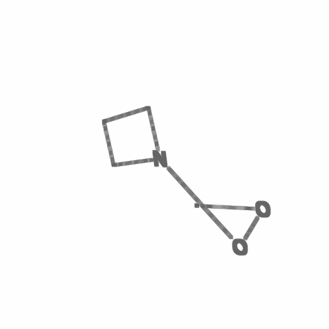 C1CN([C]2OO2)C1